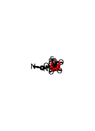 COc1cc(OC)c(P(CCCCC(=O)Nc2ccc(C#CC#N)cc2)(OC(=O)C(F)(F)F)(c2c(OC)cc(OC)cc2OC)c2c(OC)cc(OC)cc2OC)c(OC)c1